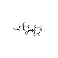 CCCC(C)(C)CC(=O)N1CCNCC1